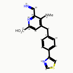 CNc1c(Cc2ccc(-c3cscn3)cc2)cc(C(=O)O)nc1C=N